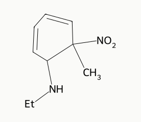 CCNC1C=CC=CC1(C)[N+](=O)[O-]